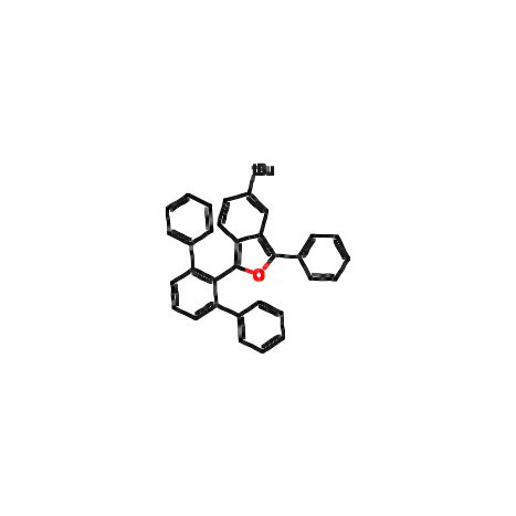 CC(C)(C)c1ccc2c(-c3c(-c4ccccc4)cccc3-c3ccccc3)oc(-c3ccccc3)c2c1